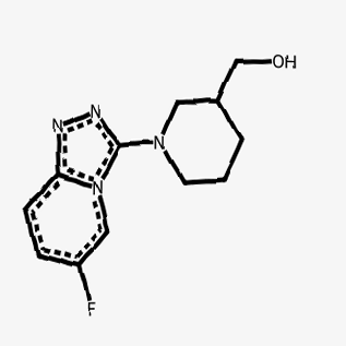 OCC1CCCN(c2nnc3ccc(F)cn23)C1